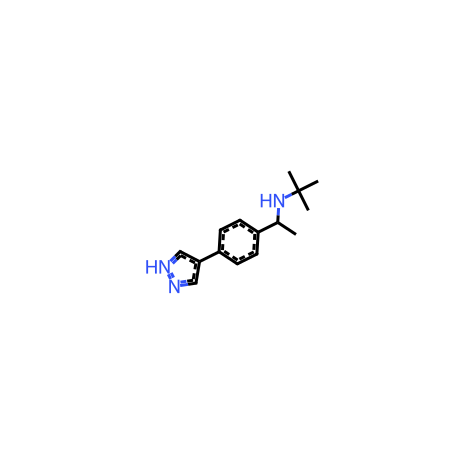 CC(NC(C)(C)C)c1ccc(-c2cn[nH]c2)cc1